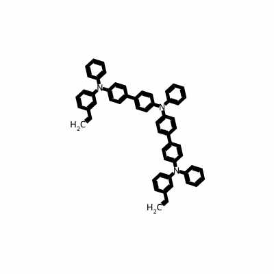 C=Cc1cccc(N(c2ccccc2)c2ccc(-c3ccc(N(c4ccccc4)c4ccc(-c5ccc(N(c6ccccc6)c6cccc(C=C)c6)cc5)cc4)cc3)cc2)c1